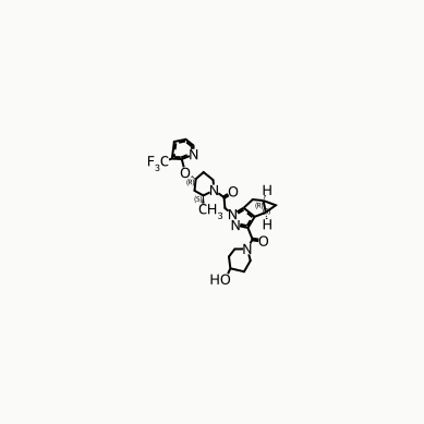 C[C@H]1C[C@H](Oc2ncccc2C(F)(F)F)CCN1C(=O)Cn1nc(C(=O)N2CCC(O)CC2)c2c1C[C@H]1C[C@@H]21